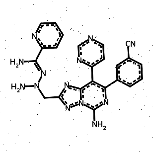 N#Cc1cccc(-c2nc(N)n3nc(CN(N)/N=C(\N)c4ccccn4)nc3c2-c2ccncn2)c1